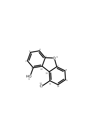 Oc1cccc2oc3cccc(Cl)c3c12